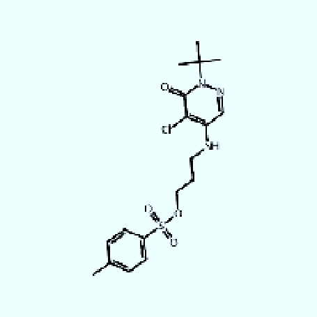 Cc1ccc(S(=O)(=O)OCCCNc2cnn(C(C)(C)C)c(=O)c2Cl)cc1